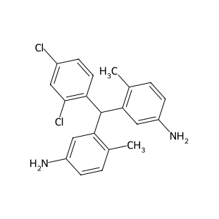 Cc1ccc(N)cc1C(c1cc(N)ccc1C)c1ccc(Cl)cc1Cl